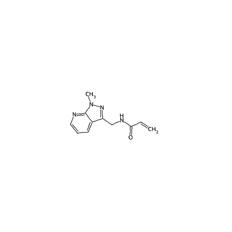 C=CC(=O)NCc1nn(C)c2ncccc12